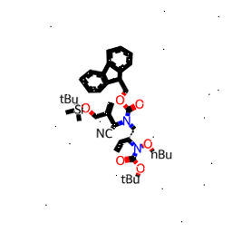 C=C[C@H](CN(C(=O)OCC1c2ccccc2-c2ccccc21)C(C#N)C(=C)CO[Si](C)(C)C(C)(C)C)N(OCCCC)C(=O)OC(C)(C)C